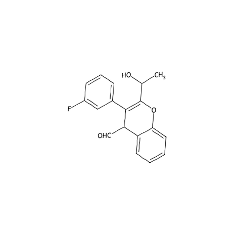 CC(O)C1=C(c2cccc(F)c2)C(C=O)c2ccccc2O1